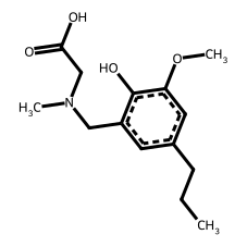 CCCc1cc(CN(C)CC(=O)O)c(O)c(OC)c1